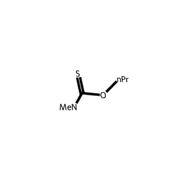 CCCOC(=S)NC